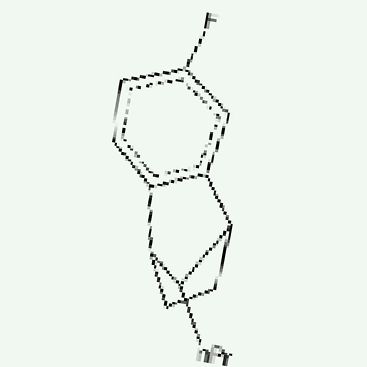 CCCC1C2CCC1c1cc(F)ccc12